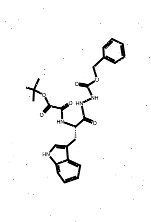 CC(C)(C)OC(=O)C(=O)N[C@@H](Cc1c[nH]c2ccccc12)C(=O)NNC(=O)OCc1ccccc1